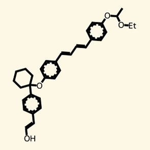 CCOC(C)Oc1ccc(C=CC=Cc2ccc(OC3(c4ccc(C=CO)cc4)CCCCC3)cc2)cc1